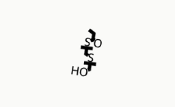 CCC(=O)SC(C)(C)CSC(C)(C)CO